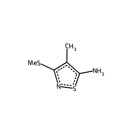 CSc1nsc(N)c1C